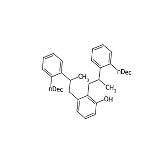 CCCCCCCCCCc1ccccc1C(C)Cc1cccc(O)c1CC(C)c1ccccc1CCCCCCCCCC